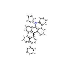 c1ccc(-c2ccc(-c3c4ccccc4c(N(c4ccccc4)c4ccccc4)c4ccccc34)c3ccccc23)cc1